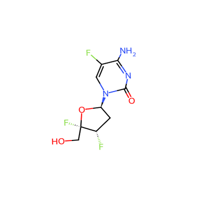 Nc1nc(=O)n([C@H]2C[C@H](F)[C@@](F)(CO)O2)cc1F